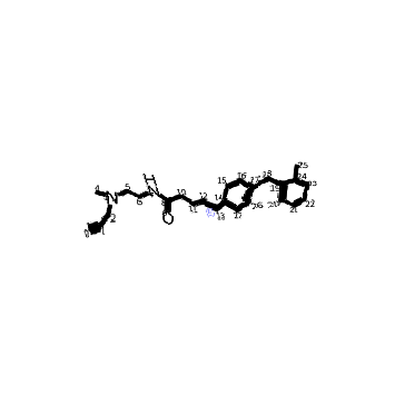 C#CCN(C)CCNC(=O)CC/C=C/c1ccc(Cc2ccccc2C)cc1